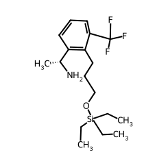 CC[Si](CC)(CC)OCCCc1c([C@@H](C)N)cccc1C(F)(F)F